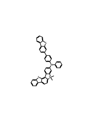 C[Si]1(C)c2cc(N(c3ccccc3)c3ccc(-c4ccc5c(c4)sc4ccccc45)cc3)ccc2-c2c1ccc1c2sc2ccccc21